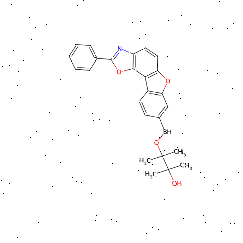 CC(C)(O)C(C)(C)OBc1ccc2c(c1)oc1ccc3nc(-c4ccccc4)oc3c12